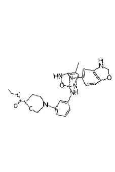 CCOC(=O)N1CCN(c2cccc(NC34N=CC(C)=C(NO3)N4c3ccc4c(c3)NCO4)c2)CC1